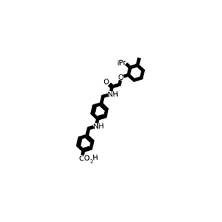 CC(C)C1C(C)CCCC1OCC(=O)NCc1ccc(NCc2ccc(C(=O)O)cc2)cc1